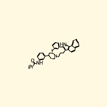 CC(C)C(=O)Nc1cccc(C2CCN(CCCc3c(-c4cccc(I)c4)[nH]c4c3ccc3ccccc34)CC2)c1